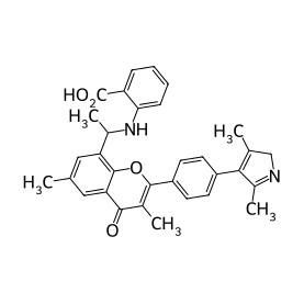 CC1=NCC(C)=C1c1ccc(-c2oc3c(C(C)Nc4ccccc4C(=O)O)cc(C)cc3c(=O)c2C)cc1